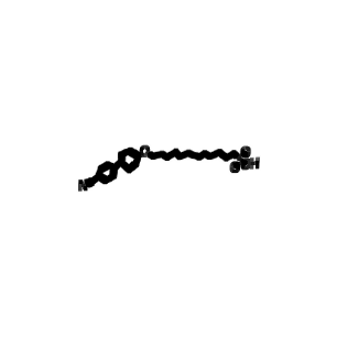 N#Cc1ccc(-c2ccc(OCCCCCCCCCCCCS(=O)(=O)O)cc2)cc1